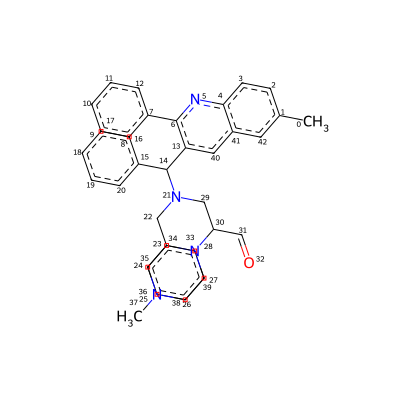 Cc1ccc2nc(-c3ccccc3)c(C(c3ccccc3)N(Cc3ccccc3)CC(C=O)N3CCN(C)CC3)cc2c1